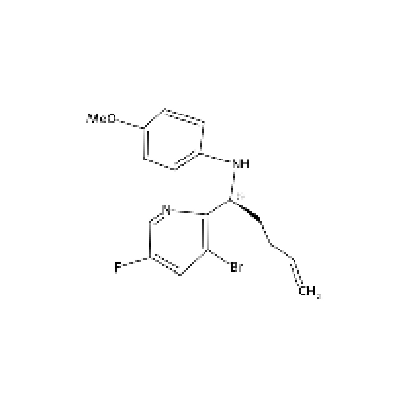 C=CCC[C@H](Nc1ccc(OC)cc1)c1ncc(F)cc1Br